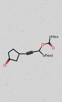 CCCCCCC(=O)OC(C#CC1CCC(=O)C1)CCCCC